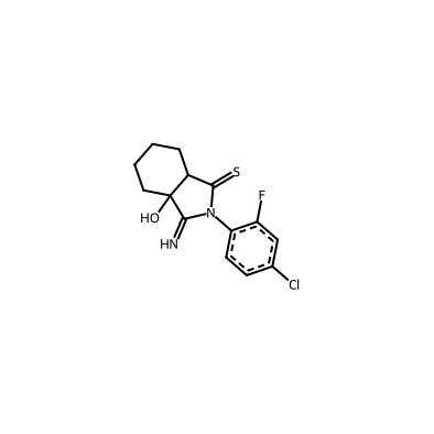 N=C1N(c2ccc(Cl)cc2F)C(=S)C2CCCCC12O